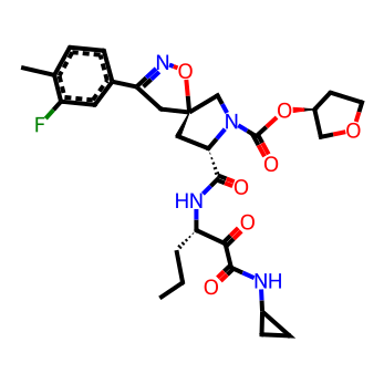 CCC[C@H](NC(=O)[C@@H]1C[C@]2(CC(c3ccc(C)c(F)c3)=NO2)CN1C(=O)O[C@H]1CCOC1)C(=O)C(=O)NC1CC1